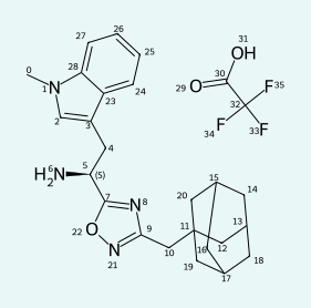 Cn1cc(C[C@H](N)c2nc(CC34CC5CC(CC(C5)C3)C4)no2)c2ccccc21.O=C(O)C(F)(F)F